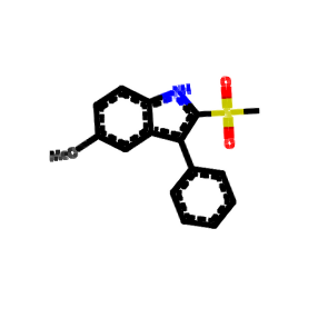 COc1ccc2[nH]c(S(C)(=O)=O)c(-c3ccccc3)c2c1